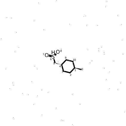 C[C@H]1CC[C@H](C[SH](=O)=O)CC1